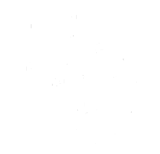 CC1=C(C)C(C)(C2(C(C)C)C=Cc3ccc4c(c32)CCCC4)C(C)=C1C.[Hf]